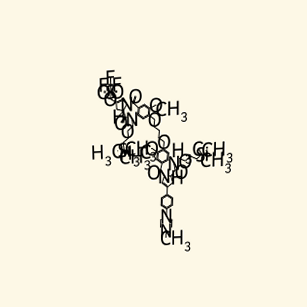 COc1cc2c(cc1OCCCOc1cc3c(cc1OC)C(=O)N1C=C(c4ccc(N5CCN(C)CC5)cc4)C[C@H]1C(=O)N3COCC[Si](C)(C)C)N(COCC[Si](C)(C)C)C(=O)[C@@H]1CC(OS(=O)(=O)C(F)(F)F)=CN1C2=O